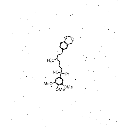 COc1cc(C(C#N)(CCCN(C)CCc2ccc3c(c2)COCO3)C(C)C)cc(OC)c1OC